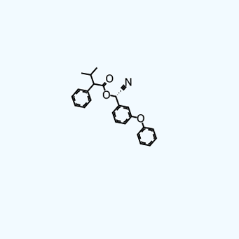 CC(C)C(C(=O)O[C@H](C#N)c1cccc(Oc2ccccc2)c1)c1ccccc1